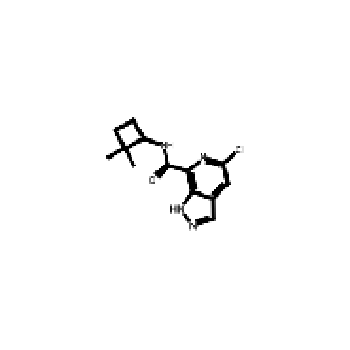 CC1(C)CCC1NC(=O)c1nc(Cl)cc2cn[nH]c12